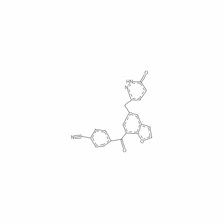 N#Cc1ccc(C(=O)c2cc(Cc3ccc(=O)[nH]n3)cc3ccoc23)cc1